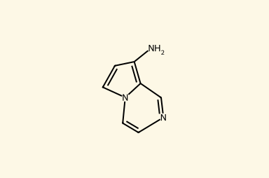 Nc1ccn2ccncc12